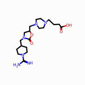 N=C(N)N1CCC(CN2CC(CN3CCN(CCCC(=O)O)CC3)OC2=O)CC1